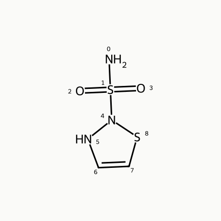 NS(=O)(=O)N1NC=CS1